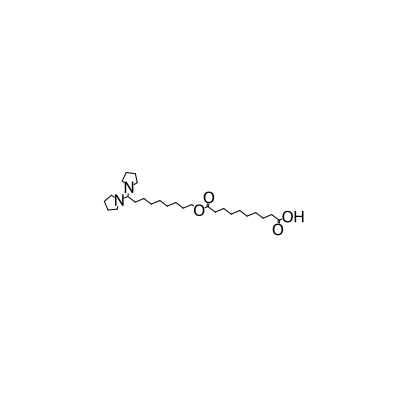 O=C(O)CCCCCCCCC(=O)OCCCCCCCCC(N1CCCC1)N1CCCC1